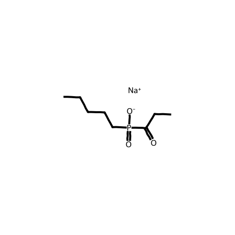 CCCCCP(=O)([O-])C(=O)CC.[Na+]